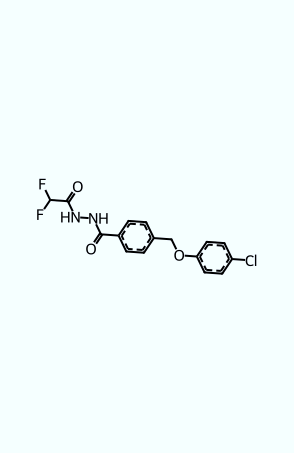 O=C(NNC(=O)C(F)F)c1ccc(COc2ccc(Cl)cc2)cc1